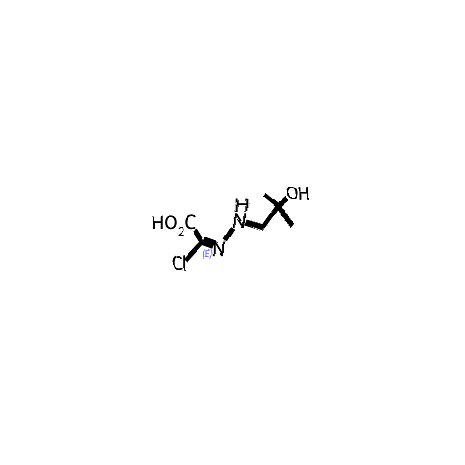 CC(C)(O)CN/N=C(/Cl)C(=O)O